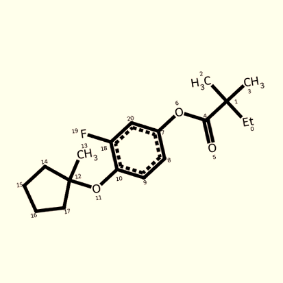 CCC(C)(C)C(=O)Oc1ccc(OC2(C)CCCC2)c(F)c1